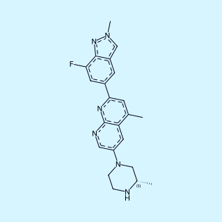 Cc1cc(-c2cc(F)c3nn(C)cc3c2)nc2ncc(N3CCN[C@@H](C)C3)cc12